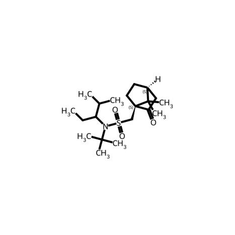 CCC(C(C)C)N(C(C)(C)C)S(=O)(=O)C[C@]12CC[C@@H](CC1=O)C2(C)C